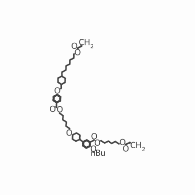 C=CC(=O)OCCCCCCCC1CCC(COc2ccc(C(=O)OCCCCCCOC3CCC(c4ccc(OCCCC)c(C(=O)OCCCCCCOC(=O)C=C)c4)CC3)cc2)CC1